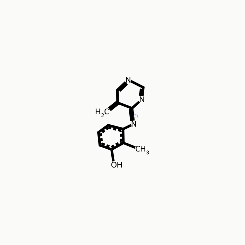 C=C1C=NC=N/C1=N/c1cccc(O)c1C